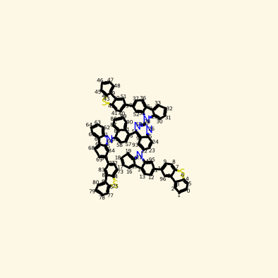 c1ccc2c(c1)sc1ccc(-c3ccc4c5ccccc5n(-c5ccc6nc(-n7c8ccccc8c8ccc(-c9ccc%10sc%11ccccc%11c%10c9)cc87)nc(-c7ccc(-n8c9ccccc9c9ccc(-c%10ccc%11sc%12ccccc%12c%11c%10)cc98)c8ccccc78)c6c5)c4c3)cc12